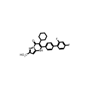 O=C(O)c1cc2[nH]c(-c3ccc(-c4ccc(F)cc4F)cc3)c(C3CCCCC3)c(=O)n2n1